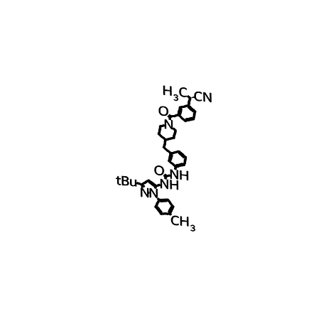 Cc1ccc(-n2nc(C(C)(C)C)cc2NC(=O)Nc2cccc(CC3CCN(C(=O)c4cccc([C@H](C)C#N)c4)CC3)c2)cc1